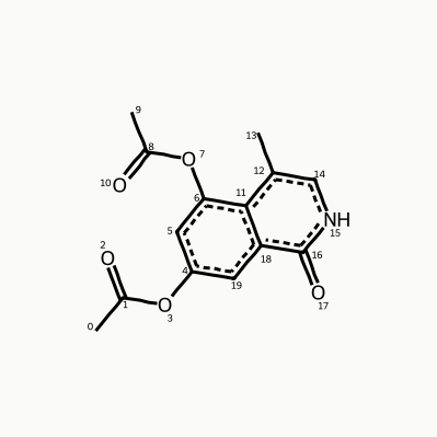 CC(=O)Oc1cc(OC(C)=O)c2c(C)c[nH]c(=O)c2c1